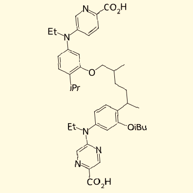 CCN(c1ccc(C(=O)O)nc1)c1ccc(C(C)C)c(OCC(C)CCC(C)c2ccc(N(CC)c3cnc(C(=O)O)cn3)cc2OCC(C)C)c1